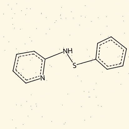 c1ccc(SNc2ccccn2)cc1